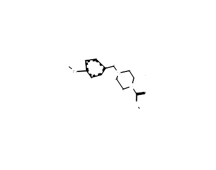 CC(C)Nc1ccc(CN2CCN(C(=O)OC(C)(C)C)[C@@H](C)C2)cc1